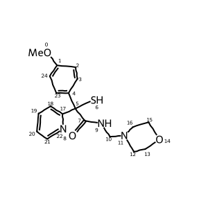 COc1ccc(C(S)(C(=O)NCN2CCOCC2)c2ccccn2)cc1